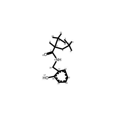 CC(C)(C)CC(C)(C(=O)NCc1ccccc1O)C(C)(C)C